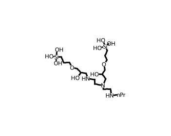 CCCNCCN(CCNCC(O)COCCC[Si](O)(O)O)CC(O)COCCC[Si](O)(O)O